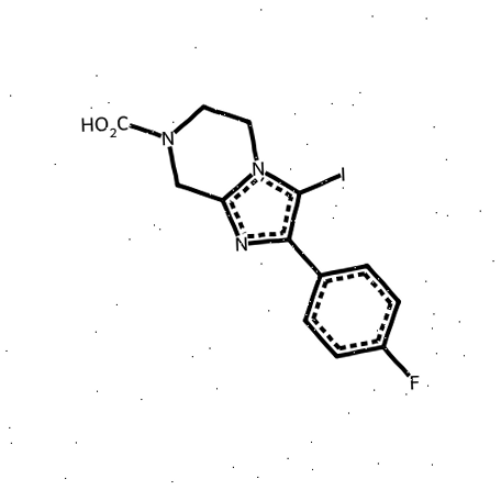 O=C(O)N1CCn2c(nc(-c3ccc(F)cc3)c2I)C1